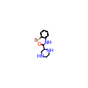 O=C(Nc1ccccc1Br)C1CNCCN1